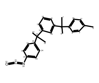 Cc1ccc(C(C)(C)c2cccc(C(C)(C)c3ccc(N=C=O)cc3)c2)cc1